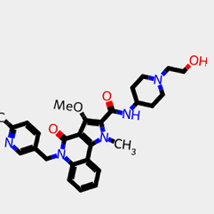 COc1c(C(=O)NC2CCN(CCO)CC2)n(C)c2c1c(=O)n(Cc1ccc(C(F)(F)F)nc1)c1ccccc21